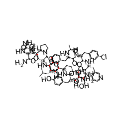 CC(=O)N[C@H](Cc1cccc2ccccc12)C(=O)N[C@@H](Cc1ccc(Cl)cc1)C(=O)N[C@H](Cc1cccnc1)C(=O)N[C@@H](CO)C(=O)N[C@@H](Cc1ccc(O)cc1)C(=O)N[C@H](CCCNC(N)=O)C(=O)N[C@H](CC(C)C)C(=O)N[C@H](CCCNC(=N)N)C(=O)N1CCC[C@@H]1C(=O)N(OC(C)=O)[C@H](C)C(N)=O